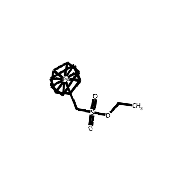 CCOS(=O)(=O)C[C]12[CH]3[CH]4[CH]5[CH]1[Fe]45321678[CH]2[CH]1[CH]6[CH]7[CH]28